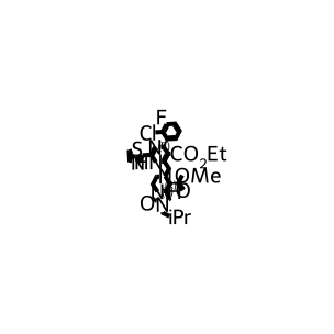 CCOC(=O)C1=C(CN2CCN3C(=O)N(CC(C)C)C[C@H]3[C@@H]2C(=O)OC)NC(c2nccs2)=N[C@H]1c1cccc(F)c1Cl